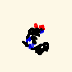 CC1CN(Cc2ccc3ccccc3c2)CC(C)N1Cc1ccc(C(=O)NO)cc1